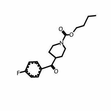 CCCCOC(=O)N1CCC(C(=O)c2ccc(F)cc2)CC1